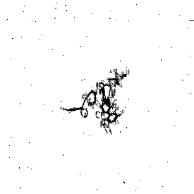 CC#CC(=O)N1CCC(n2ncc3c(N4CC(N(C)C)C4)nc4c(F)c(-c5c(C)c(C)cc6[nH]ncc56)c(Cl)cc4c32)CC1